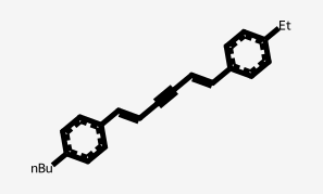 CCCCc1ccc(C=CC#CC=Cc2ccc(CC)cc2)cc1